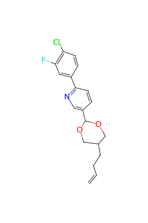 C=CCCC1COC(c2ccc(-c3ccc(Cl)c(F)c3)nc2)OC1